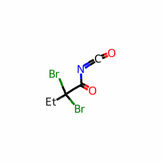 CCC(Br)(Br)C(=O)N=C=O